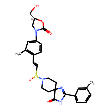 Cc1cc(N2C[C@H](CO)OC2=O)ccc1/C=C/[S+]([O-])N1CCC2(CC1)N=C(c1cccc(C(F)(F)F)c1)NC2=O